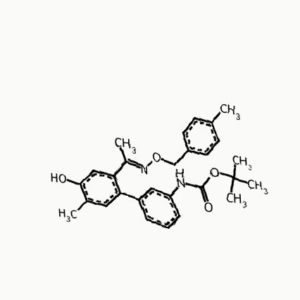 C/C(=N\OCc1ccc(C)cc1)c1cc(O)c(C)cc1-c1cccc(NC(=O)OC(C)(C)C)c1